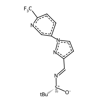 CC(C)(C)[S@@+]([O-])N=Cc1ccn(-c2ccc(C(F)(F)F)nc2)n1